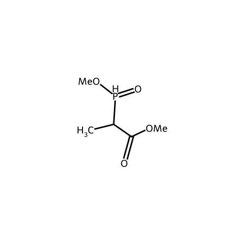 COC(=O)C(C)[PH](=O)OC